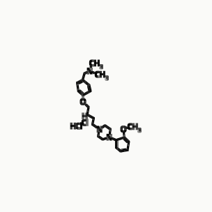 COc1ccccc1N1CCN(CCCCOc2ccc(CN(C)C)cc2)CC1.Cl.Cl